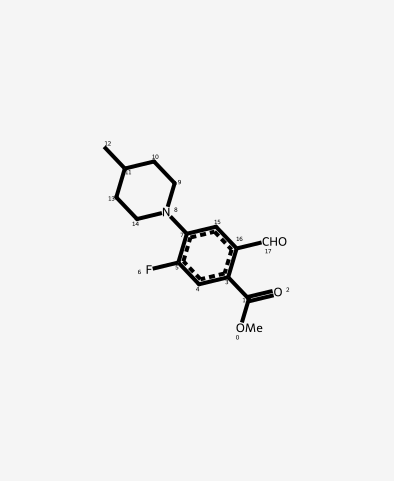 COC(=O)c1cc(F)c(N2CCC(C)CC2)cc1C=O